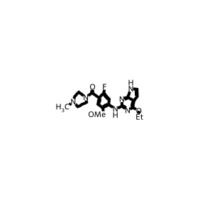 CCOc1nc(Nc2cc(F)c(C(=O)N3CCN(C)CC3)cc2OC)nc2[nH]ccc12